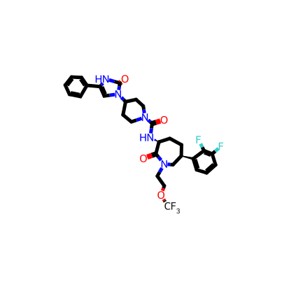 O=C(N[C@@H]1CC[C@@H](c2cccc(F)c2F)CN(CCOC(F)(F)F)C1=O)N1CCC(n2cc(-c3ccccc3)[nH]c2=O)CC1